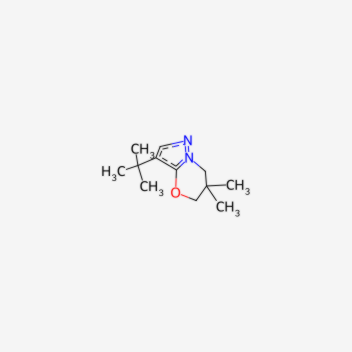 CC1(C)COc2c(C(C)(C)C)cnn2C1